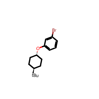 CC(C)(C)[C@H]1CC[C@H](Oc2cccc(Br)c2)CC1